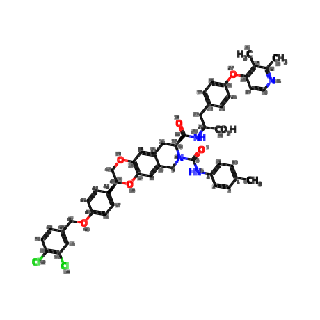 Cc1ccc(NC(=O)N2Cc3cc4c(cc3C[C@H]2C(=O)NC(Cc2ccc(Oc3ccnc(C)c3C)cc2)C(=O)O)OC[C@H](c2ccc(OCc3ccc(Cl)c(Cl)c3)cc2)O4)cc1